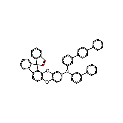 c1ccc(-c2ccc(-c3cccc(N(c4cccc(-c5ccccc5)c4)c4ccc5c(c4)Oc4c(ccc6c4C4(c7ccccc7-c7ccccc74)c4ccccc4-6)O5)c3)cc2)cc1